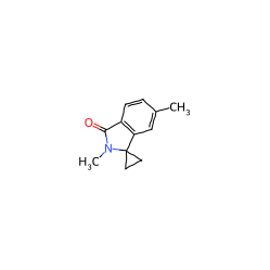 Cc1ccc2c(c1)C1(CC1)N(C)C2=O